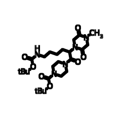 CN1CC(=O)N(C(CCCCNC(=O)OC(C)(C)C)C(=O)N2CCN(C(=O)OC(C)(C)C)CC2)CC1=O